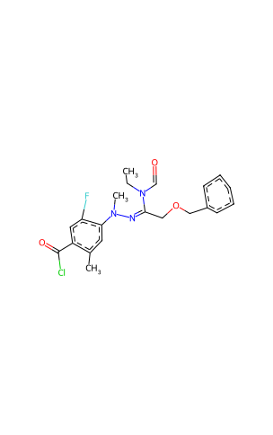 CCN(C=O)/C(COCc1ccccc1)=N\N(C)c1cc(C)c(C(=O)Cl)cc1F